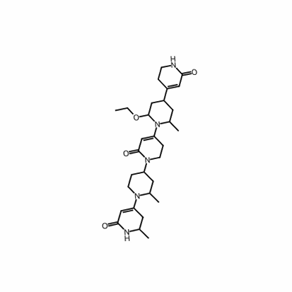 CCOC1CC(C2=CC(=O)NCC2)CC(C)N1C1=CC(=O)N(C2CCN(C3=CC(=O)NC(C)C3)C(C)C2)CC1